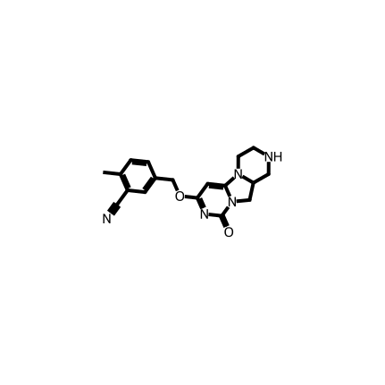 Cc1ccc(COc2cc3n(c(=O)n2)CC2CNCCN32)cc1C#N